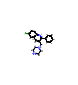 Fc1ccc2nc(-c3ccccc3)c(CN3CCNCC3)cc2c1